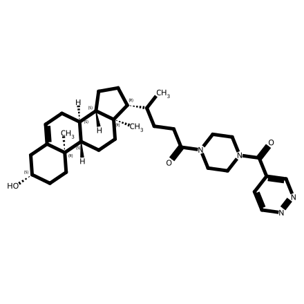 CC(CCC(=O)N1CCN(C(=O)c2ccnnc2)CC1)[C@H]1CC[C@H]2[C@@H]3CC=C4C[C@@H](O)CC[C@]4(C)[C@H]3CC[C@]12C